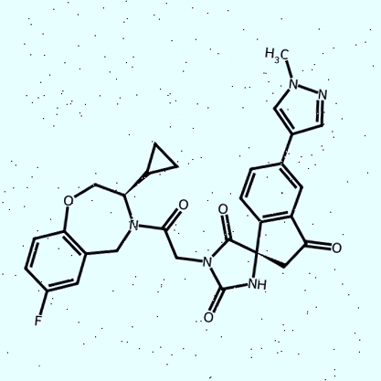 Cn1cc(-c2ccc3c(c2)C(=O)C[C@]32NC(=O)N(CC(=O)N3Cc4cc(F)ccc4OC[C@H]3C3CC3)C2=O)cn1